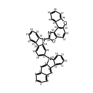 c1ccc2cc3c(cc2c1)c1ccccc1n3-c1ccc2c3ccccc3n(-c3nc4c(ccc5oc6ccccc6c54)o3)c2c1